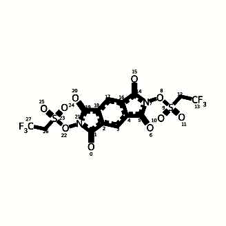 O=c1c2cc3c(=O)n(OS(=O)(=O)CC(F)(F)F)c(=O)c3cc2c(=O)n1OS(=O)(=O)CC(F)(F)F